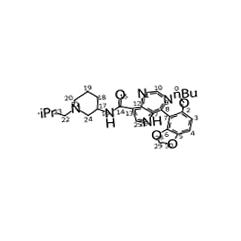 CCCCOc1ccc2c(c1-c1ncnc3c(C(=O)NC4CCCN(C[C](C)C)C4)c[nH]c13)OCO2